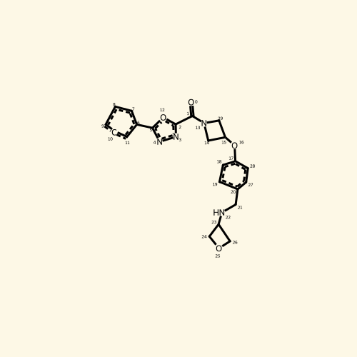 O=C(c1nnc(-c2ccccc2)o1)N1CC(Oc2ccc(CNC3COC3)cc2)C1